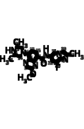 COc1cnc2c(N3CC(C)NC(C)C3)ccc(C(=O)Nc3cc(F)c4nc(C)cn4c3)c2n1